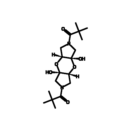 CC(C)(C)C(=O)N1C[C@@H]2O[C@]3(O)CN(C(=O)C(C)(C)C)C[C@@H]3O[C@]2(O)C1